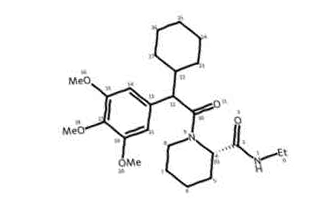 CCNC(=O)[C@@H]1CCCCN1C(=O)C(c1cc(OC)c(OC)c(OC)c1)C1CCCCC1